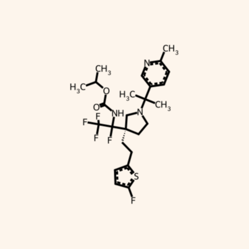 Cc1ccc(C(C)(C)N2CC[C@@](CCc3ccc(F)s3)(C(F)(NC(=O)OC(C)C)C(F)(F)F)C2)cn1